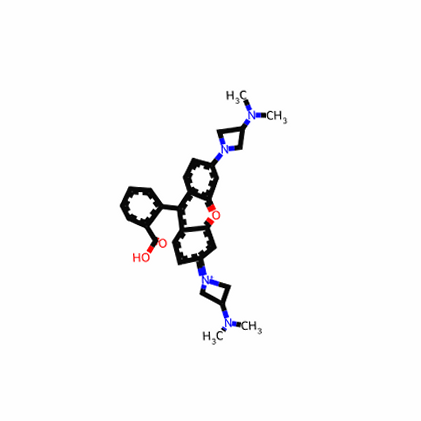 CN(C)C1CN(c2ccc3c(-c4ccccc4C(=O)O)c4ccc(=[N+]5CC(N(C)C)C5)cc-4oc3c2)C1